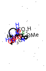 COc1ccc2nc(C(F)(F)F)c3c(c2c1)[C@H](F)C[C@]1(C[C@H]2C(=O)N[C@]4(C(=O)NS(=O)(=O)C5(C)CC5)C[C@H]4/C=C\CCCCC[C@H](NC(=O)O)C(=O)N2C1)O3